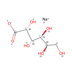 O=C([O-])[C@H](O)[C@@H](O)[C@@H](O)[C@H](O)CO.[Na+]